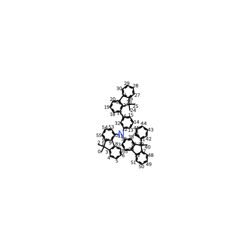 CC1(C)c2ccccc2-c2c(N(c3cccc(-c4cccc5c4C(C)(C)c4ccccc4-5)c3)c3ccc4c(c3)C(C)(c3ccccc3)c3ccccc3-4)cccc21